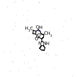 Cc1cc(-c2nc3ccccc3[nH]2)c(=O)oc1/C=C(/O)C1C(C)CC1F